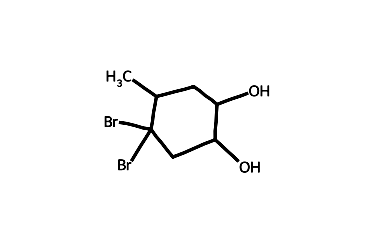 CC1CC(O)C(O)CC1(Br)Br